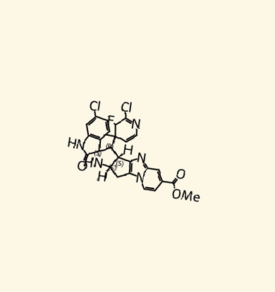 COC(=O)c1ccn2c3c(nc2c1)[C@@H]1[C@H](C3)N[C@@]2(C(=O)Nc3cc(Cl)ccc32)[C@H]1C1(C)C=CN=C(Cl)C1F